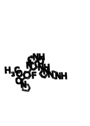 COc1cc(-c2cc(Nc3cccc(N4CCNCC4)n3)c3c(=O)[nH]ccc3n2)c(F)cc1C(=O)N1CCCCC1